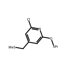 CCCOc1cc(CSC)cc(Cl)n1